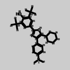 CN(C)c1ccc(-c2nc(-c3cc(C(C)(C)C)c(O)c(C(C)(C)C)c3)oc2C2CCCCC2)cc1